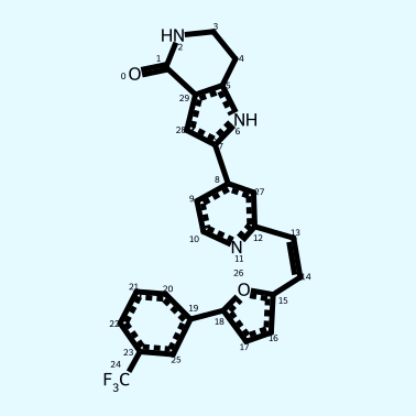 O=C1NCCc2[nH]c(-c3ccnc(/C=C\c4ccc(-c5cccc(C(F)(F)F)c5)o4)c3)cc21